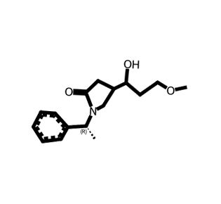 COCCC(O)C1CC(=O)N([C@H](C)c2ccccc2)C1